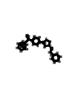 O=C(c1ccc(N2CC[C@H](OCc3ccccc3)C2)cc1)N1CC2CCC(CC2)C1